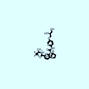 C[C@@H](NC(=O)C1C=CC2=C(N1)N(C(=O)Nc1ccc(OC[C@@H](O)CO)cn1)[C@H]1CCN2C1)C(F)(F)F